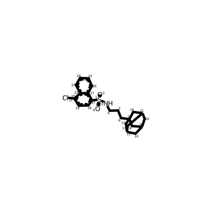 O=S(=O)(NCCCC12CC3CC(CC(C3)C1)C2)c1ccc(Cl)c2ccccc12